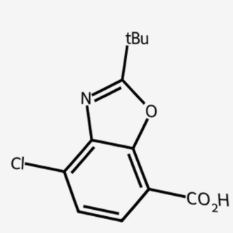 CC(C)(C)c1nc2c(Cl)ccc(C(=O)O)c2o1